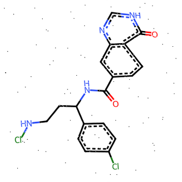 O=C(NC(CCNCl)c1ccc(Cl)cc1)c1ccc2c(=O)[nH]cnc2c1